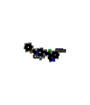 COc1ccc2nccc(C(F)CC[C@@H]3CCN(CCSC4CCCCC4)C[C@@H]3C(=O)O)c2c1